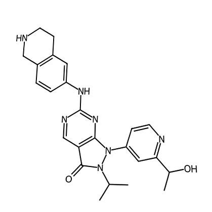 CC(O)c1cc(-n2c3nc(Nc4ccc5c(c4)CCNC5)ncc3c(=O)n2C(C)C)ccn1